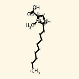 CCCCCCCCCc1[nH]cc(C(=O)O)[n+]1C